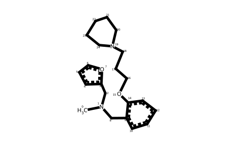 CN(Cc1ccco1)Cc1ccccc1OCCCN1CCCCC1